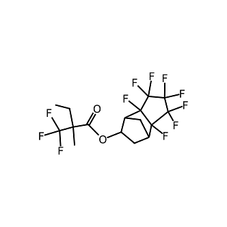 CCC(C)(C(=O)OC1CC2CC1C1(F)C(F)(F)C(F)(F)C(F)(F)C21F)C(F)(F)F